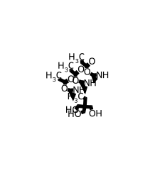 CCC(=O)OC1CN1.CCC(=O)OC1CN1.CCC(=O)OC1CN1.CCC(CO)(CO)CO